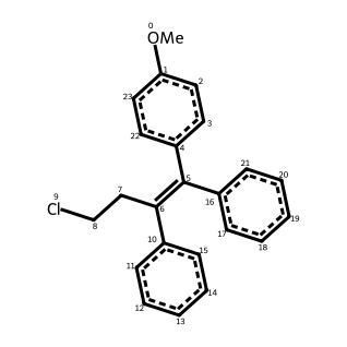 COc1ccc(/C(=C(\CCCl)c2ccccc2)c2ccccc2)cc1